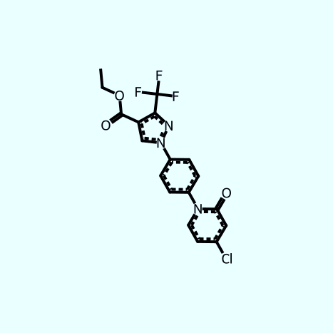 CCOC(=O)c1cn(-c2ccc(-n3ccc(Cl)cc3=O)cc2)nc1C(F)(F)F